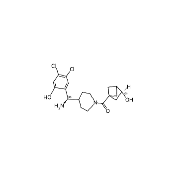 N[C@@H](c1cc(Cl)c(Cl)cc1O)C1CCN(C(=O)C23CC(C2)[C@@H](O)C3)CC1